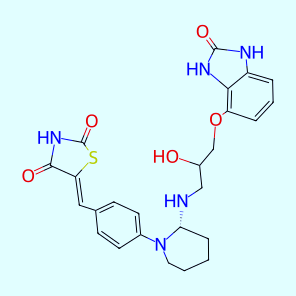 O=C1NC(=O)C(=Cc2ccc(N3CCCC[C@H]3NCC(O)COc3cccc4[nH]c(=O)[nH]c34)cc2)S1